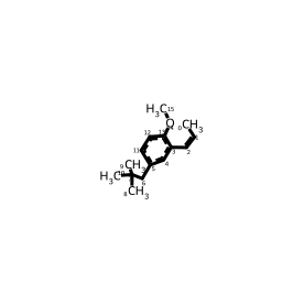 C/C=C\c1cc(CC(C)(C)C)ccc1OC